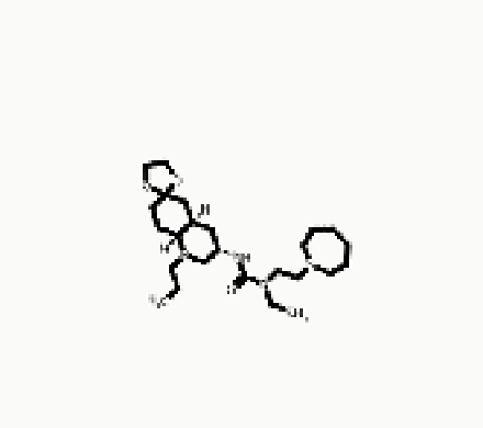 CCCN1C[C@@H](NC(=O)N(CC)CCN2CCCCCC2)C[C@@H]2CC3(CC[C@H]21)OCCO3